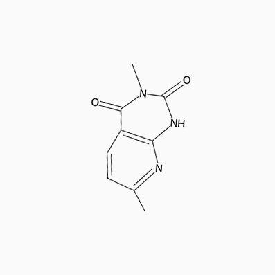 Cc1ccc2c(=O)n(C)c(=O)[nH]c2n1